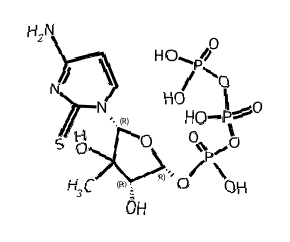 CC1(O)[C@@H](O)[C@@H](OP(=O)(O)OP(=O)(O)OP(=O)(O)O)O[C@H]1n1ccc(N)nc1=S